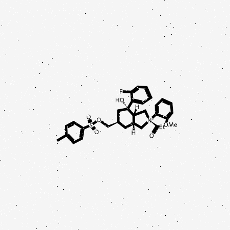 CCC(=O)[N@@+]1(c2ccccc2OC)C[C@@H]2C[C@@H](COS(=O)(=O)c3ccc(C)cc3)C[C@@](O)(c3ccccc3F)[C@@H]2C1